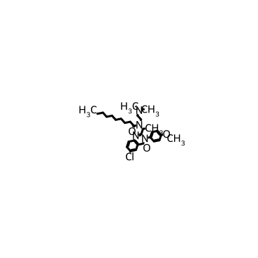 CCCCCCCCCC(=O)N(CCN(C)C)C(C)c1nc2ccc(Cl)cc2c(=O)n1-c1ccc(OC)cc1